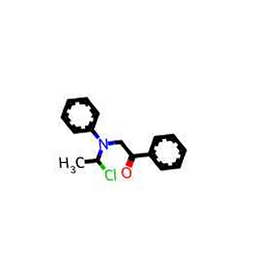 CC(Cl)N(CC(=O)c1ccccc1)c1ccccc1